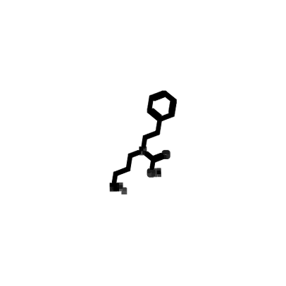 NCCCN(CCc1ccccc1)C(=O)O